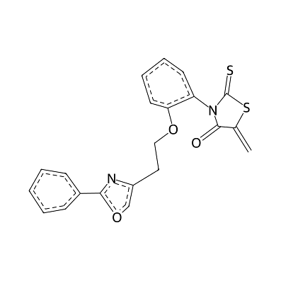 C=C1SC(=S)N(c2ccccc2OCCc2coc(-c3ccccc3)n2)C1=O